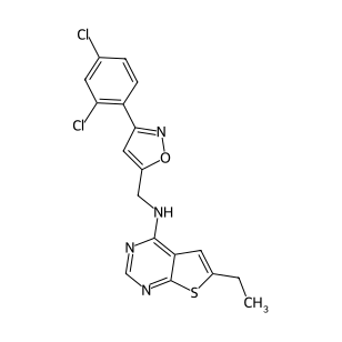 CCc1cc2c(NCc3cc(-c4ccc(Cl)cc4Cl)no3)ncnc2s1